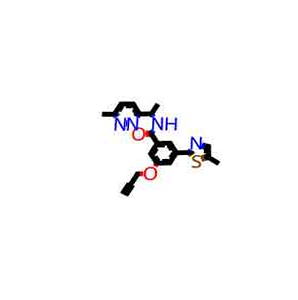 C#CCOc1cc(C(=O)NC(C)c2ccc(C)nn2)cc(-c2ncc(C)s2)c1